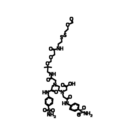 CC(C)(CNC(=O)CN(CCN(CC(=O)O)CC(=O)Nc1ccc(S(N)(=O)=O)cc1)CC(=O)Nc1ccc(S(N)(=O)=O)cc1)OCOCC(=O)NCCSSCCOC=O